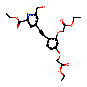 CCOC(=O)COc1ccc(C#Cc2cc(CO)nc(C(=O)OCC)c2)c(OCC(=O)OCC)c1